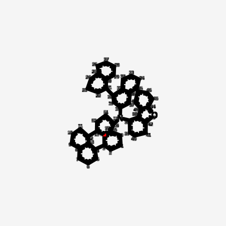 c1ccc(-c2cccc3cccc(-c4ccc(N(c5cc(-c6cccc7ccccc67)c6ccccc6c5)c5cccc6oc7ccccc7c56)cc4)c23)cc1